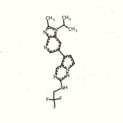 Cc1nc2ncc(-c3ccn4nc(NCC(F)(F)F)ncc34)cc2n1C(C)C